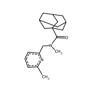 Cc1cccc(CN(C)C(=O)C23CC4CC(CC(C4)C2)C3)n1